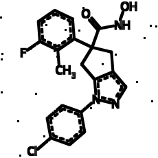 Cc1c(F)cccc1C1(C(=O)NO)Cc2cnn(-c3ccc(Cl)cc3)c2C1